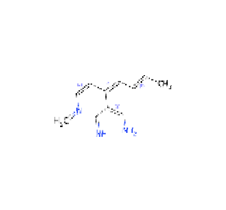 C=N\C=C/C(=C/C=C/C)C(/C=N)=C/N